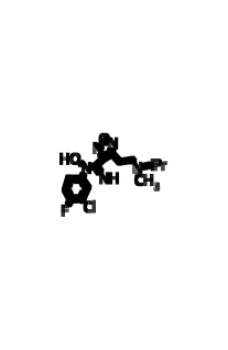 CC(C)N(C)CCc1nonc1C(=N)N(O)c1ccc(F)c(Cl)c1